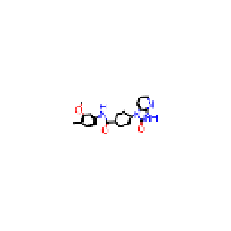 COc1cc(NC(=O)C2CCC(n3c(=O)[nH]c4ncccc43)CC2)ccc1C